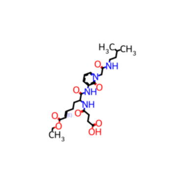 CCOC(=O)/C=C/CCC(NC(=O)CCC(=O)O)C(=O)Nc1cccn(CC(=O)NCCC(C)C)c1=O